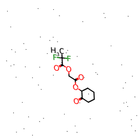 CC(F)(F)C(=O)OCC(=O)OC1CCCCC1=O